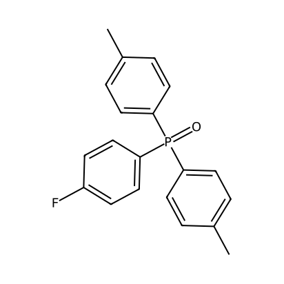 Cc1ccc(P(=O)(c2ccc(C)cc2)c2ccc(F)cc2)cc1